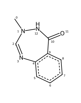 CN1[C]=Nc2ccccc2C(=O)N1